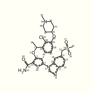 CC(Oc1cc(-n2cnc3ccc(CS(C)(=O)=O)cc32)sc1C(N)=O)c1cccc(OC2CCN(C)CC2)c1Cl